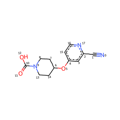 N#Cc1cc(OC2CCN(C(=O)O)CC2)ccn1